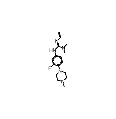 C=C/N=C(/Nc1ccc(N2CCN(C)CC2)c(F)c1)N(C)C